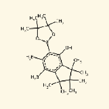 Bc1c(B)c2c(c(O)c1B1OC(C)(C)C(C)(C)O1)C(C)(C)C(C)(C)C2(C)C